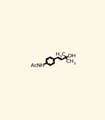 CC(=O)Nc1ccc(C=CC(C)(C)O)cc1